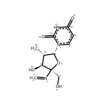 C=N[C@]1(CO)O[C@@H](n2ccc(=O)[nH]c2=O)[C@@H](C)[C@@H]1O